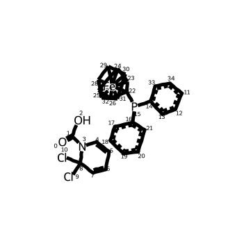 O=C(O)N1C=CC=CC1(Cl)Cl.c1ccc(P(c2ccccc2)[C]23[CH]4[CH]5[CH]6[CH]2[Fe]56432789[CH]3[CH]2[CH]7[CH]8[CH]39)cc1